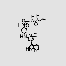 C=CCNC(=O)NCCS(=O)(=O)N[C@H]1CC[C@H](Nc2cc(-c3c[nH]c4ncccc34)cc(Cl)n2)CC1